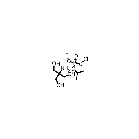 CC(C)OP(=O)(OCl)OCl.NC(CO)(CO)CO